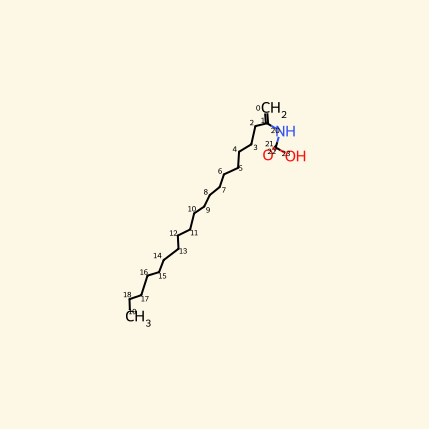 C=C(CCCCCCCCCCCCCCCCCC)NC(=O)O